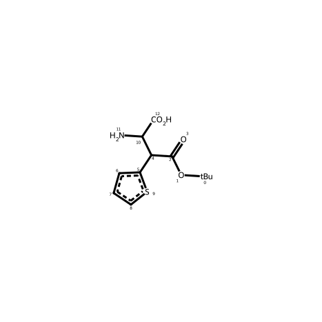 CC(C)(C)OC(=O)C(c1cccs1)C(N)C(=O)O